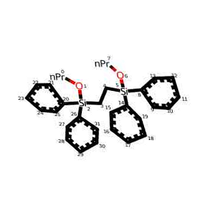 CCCO[Si](CC[Si](OCCC)(c1ccccc1)c1ccccc1)(c1ccccc1)c1ccccc1